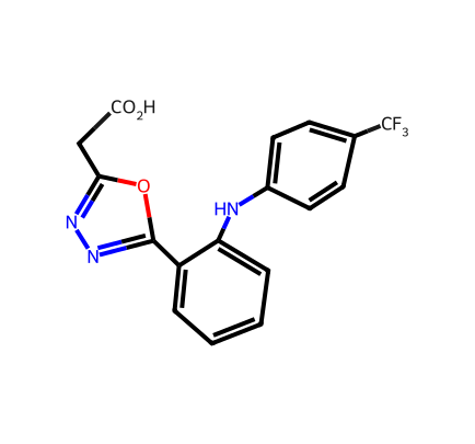 O=C(O)Cc1nnc(-c2ccccc2Nc2ccc(C(F)(F)F)cc2)o1